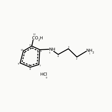 Cl.NCCCNc1ccccc1C(=O)O